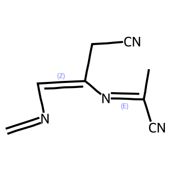 C=N/C=C(CC#N)\N=C(/C)C#N